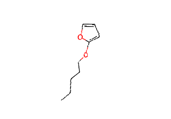 CCCCCOc1ccco1